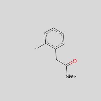 [CH2]c1ccccc1CC(=O)NC